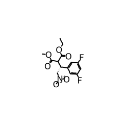 CCOC(=O)C(C(=O)OC)[C@@H](C[N+](=O)[O-])c1cc(F)cc(F)c1